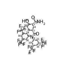 NC(=O)c1cc(C(=O)N(c2cc(C(F)(F)F)cc(C(F)(F)F)c2)c2cc(C(F)(F)F)cc(C(F)(F)F)c2)ccc1O